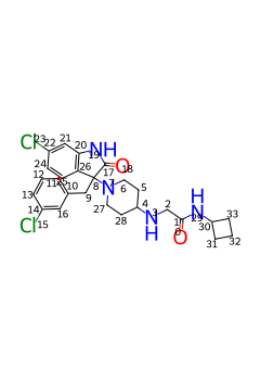 O=C(CNC1CCN(C2(Cc3cccc(Cl)c3)C(=O)Nc3cc(Cl)ccc32)CC1)NC1CCC1